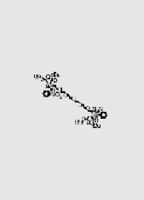 CC(C)(C)OC(=O)C[C@@H](C(=O)OC(C)(C)C)N(CCOCCOCCOCCOCCOCCN([C@@H](CC(=O)OC(C)(C)C)C(=O)OC(C)(C)C)S(=O)(=O)c1ccccc1[N+](=O)[O-])S(=O)(=O)c1ccccc1[N+](=O)[O-]